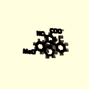 COc1ccc(C2=C(C#N)C(C(=O)[O-])=N[N+]2(c2ccccc2I)N2CCCCC2)cc1